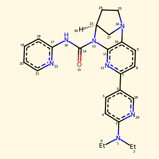 CCN(CC)c1ccc(-c2ccc3c(n2)N(C(=O)Nc2ccccn2)[C@H]2CCN3C2)cn1